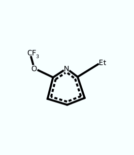 CCc1cccc(OC(F)(F)F)n1